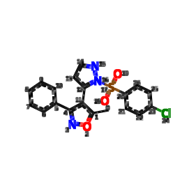 Cc1onc(-c2ccccc2)c1-c1ccnn1S(=O)(=O)c1ccc(Cl)cc1